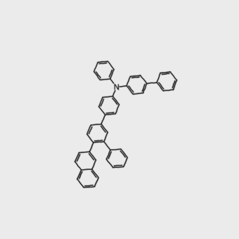 c1ccc(-c2ccc(N(c3ccccc3)c3ccc(-c4ccc(-c5ccc6ccccc6c5)c(-c5ccccc5)c4)cc3)cc2)cc1